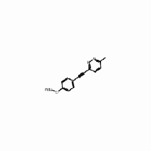 CCCCOc1ccc(C#Cc2ccc(C)nn2)cc1